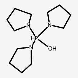 O[PH](N1CCCC1)(N1CCCC1)N1CCCC1